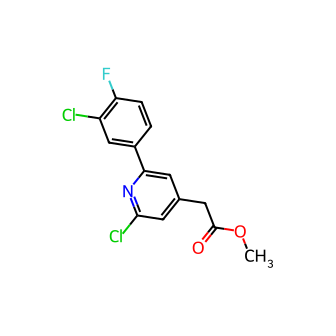 COC(=O)Cc1cc(Cl)nc(-c2ccc(F)c(Cl)c2)c1